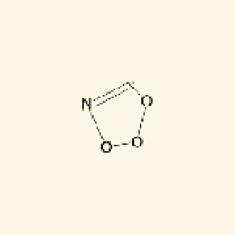 [C]1=NOOO1